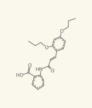 CCCOc1ccc(/C=C/C(=O)Nc2ccccc2C(=O)O)c(OCCC)c1